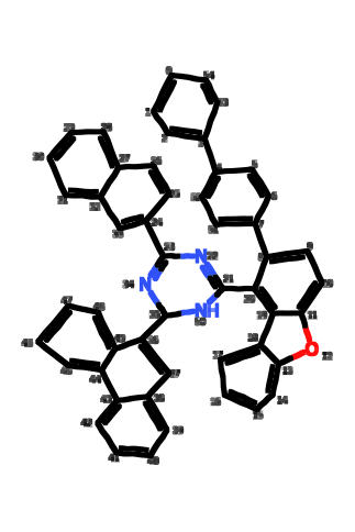 c1ccc(-c2ccc(-c3ccc4oc5ccccc5c4c3C3=NC(c4ccc5ccccc5c4)=NC(c4cc5ccccc5c5ccccc45)N3)cc2)cc1